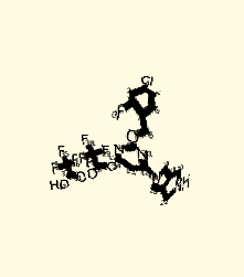 Fc1cc(Cl)ccc1COc1nccc(-n2cc3c(c2)CNC3)n1.O=C(O)C(F)(F)F.O=C(O)C(F)(F)F